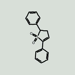 O=S1(=O)C(c2ccccc2)=CCC1c1ccccc1